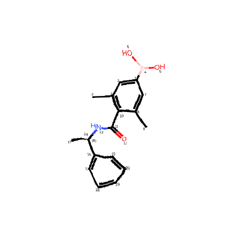 Cc1cc(B(O)O)cc(C)c1C(=O)N[C@H](C)c1ccccc1